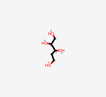 OCCC(O)C(O)CO